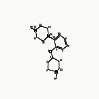 CN1CCC(Oc2ccccc2N2CCN(C)CC2)CC1